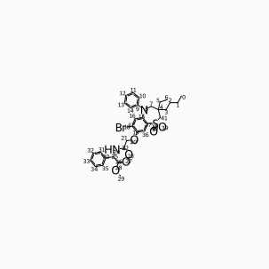 CCCCC1(CC)CN(c2ccccc2)c2cc(Br)c(OCC(=O)N[C@H](C(=O)OC)c3ccccc3)cc2S(=O)(=O)C1